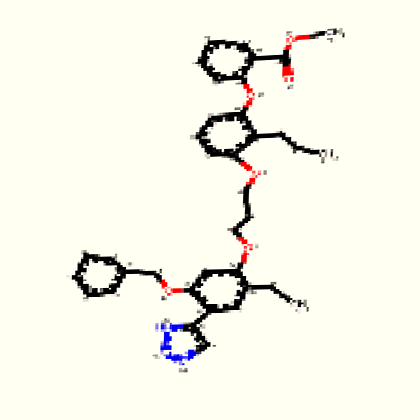 CCCc1c(OCCCOc2cc(OCc3ccccc3)c(-c3cnn[nH]3)cc2CC)cccc1Oc1ccccc1C(=O)OC